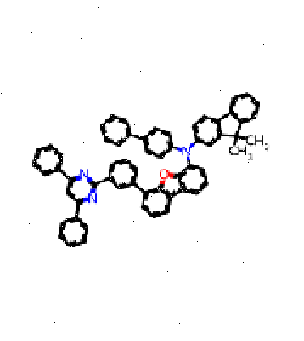 CC1(C)c2ccccc2-c2ccc(N(c3ccc(-c4ccccc4)cc3)c3cccc4c3oc3c(-c5cccc(-c6nc(-c7ccccc7)cc(-c7ccccc7)n6)c5)cccc34)cc21